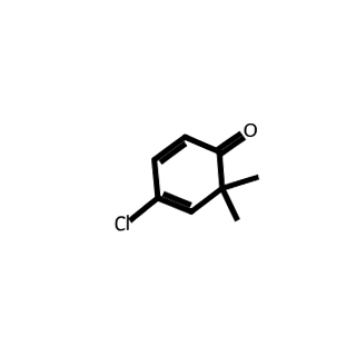 CC1(C)C=C(Cl)C=CC1=O